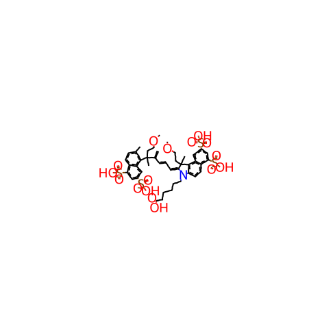 C=C(/C=C/C=C1/N(CCCCCC(=O)O)c2ccc3c(S(=O)(=O)O)cc(S(=O)(=O)O)cc3c2C1(C)CCOC)C(C)(CCOC)c1c(C)ccc2c(S(=O)(=O)O)cc(S(=O)(=O)O)cc12